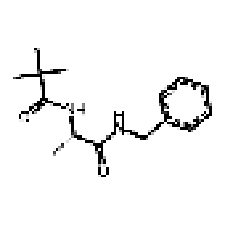 C[C@H](NC(=O)C(C)(C)C)C(=O)NCc1ccccc1